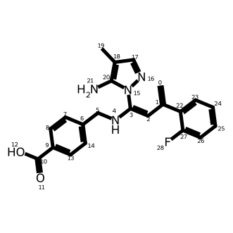 C=C(/C=C(/NCc1ccc(C(=O)O)cc1)n1ncc(C)c1N)c1ccccc1F